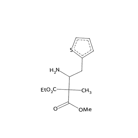 CCOC(=O)C(C)(C(=O)OC)C(N)Cc1cccs1